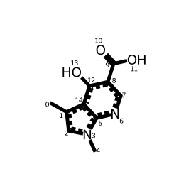 Cc1cn(C)c2ncc(C(=O)O)c(O)c12